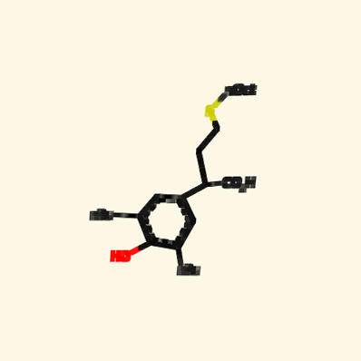 CCCCCCCCSCCC(C(=O)O)c1cc(CCCC)c(O)c(CCCC)c1